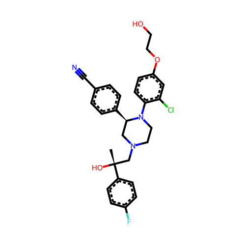 C[C@@](O)(CN1CCN(c2ccc(OCCO)cc2Cl)[C@H](c2ccc(C#N)cc2)C1)c1ccc(F)cc1